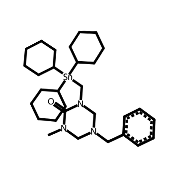 CN1CN(Cc2ccccc2)CN([CH2][Sn]([CH]2CCCCC2)([CH]2CCCCC2)[CH]2CCCCC2)C1=O